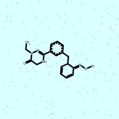 CCON=C1C=CC=CC1Cc1cccc(C2=NN(CC(F)(F)F)C(=O)CN2)c1